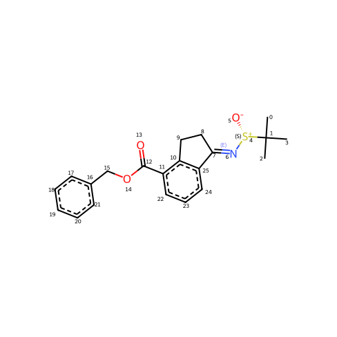 CC(C)(C)[S@@+]([O-])/N=C1\CCc2c(C(=O)OCc3ccccc3)cccc21